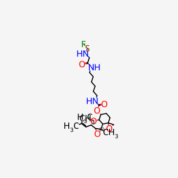 COC1C(OC(=O)NCCCCCCNC(=O)CNSF)CCC2(CO2)C1[C@]1(C)OC1CC=C(C)C